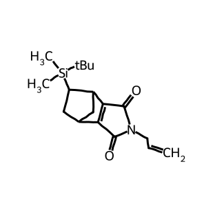 C=CCN1C(=O)C2=C(C1=O)C1CC2CC1[Si](C)(C)C(C)(C)C